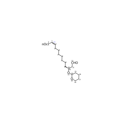 CCCCCCCC/C=C\CCCCCCC[C@@H](CC=O)OC1CCCCO1